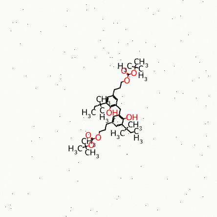 CCC(C)(C)c1cc(CCCOC(=O)OC(C)(C)C)cc(Cc2cc(CCCOC(=O)OC(C)(C)C)cc(C(C)(C)CC)c2O)c1O